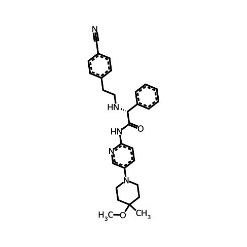 COC1(C)CCN(c2ccc(NC(=O)[C@H](NCCc3ccc(C#N)cc3)c3ccccc3)nc2)CC1